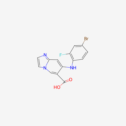 O=C(O)c1cn2ccnc2cc1Nc1ccc(Br)cc1F